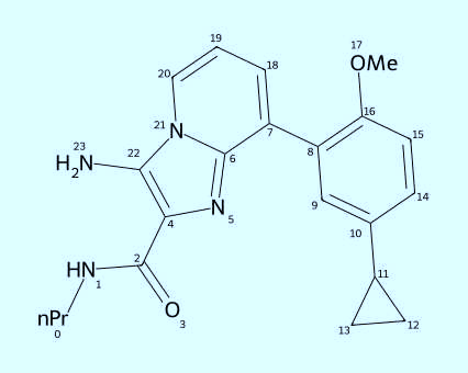 CCCNC(=O)c1nc2c(-c3cc(C4CC4)ccc3OC)cccn2c1N